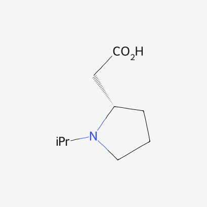 CC(C)N1CCC[C@H]1CC(=O)O